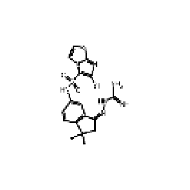 CC1(C)C/C(=N/NC(=N)N)c2cc(NS(=O)(=O)c3c(Cl)nc4sccn34)ccc21